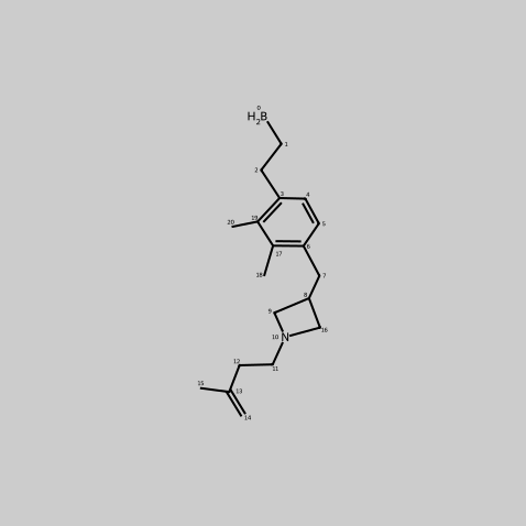 BCCc1ccc(CC2CN(CCC(=C)C)C2)c(C)c1C